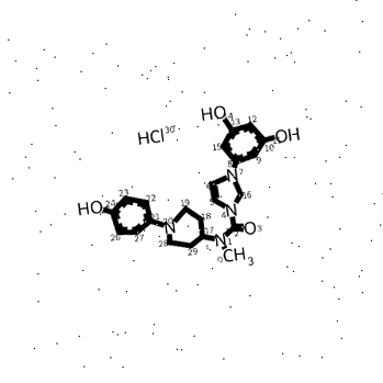 CN(C(=O)N1C=CN(c2cc(O)cc(O)c2)C1)C1CCN(c2ccc(O)cc2)CC1.Cl